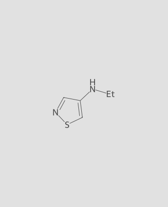 CCNc1cnsc1